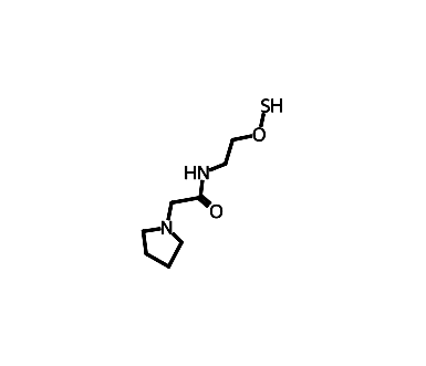 O=C(CN1CCCC1)NCCOS